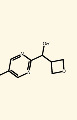 OC(c1ncc(Br)cn1)C1COC1